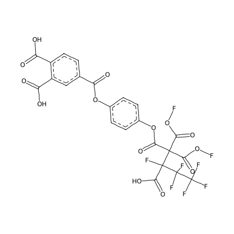 O=C(Oc1ccc(OC(=O)C(C(=O)OF)(C(=O)OF)C(F)(C(=O)O)C(F)(F)C(F)(F)F)cc1)c1ccc(C(=O)O)c(C(=O)O)c1